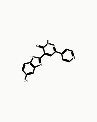 N#Cc1ccc2[nH]c(-c3cc(-c4ccncc4)n[nH]c3=O)nc2c1